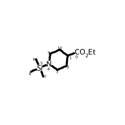 CCOC(=O)C1CCN([Si](C)(C)C)CC1